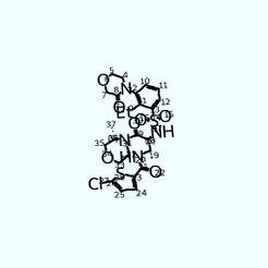 CCc1c(N2CCOCC2=O)cccc1S(=O)(=O)N[C@@H](CNC(=O)c1ccc(Cl)s1)C(=O)N1CCOC[C@@H]1C